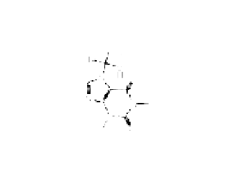 BC(B)(B)n1cnc2c1c(=O)n(C)c(=O)n2C